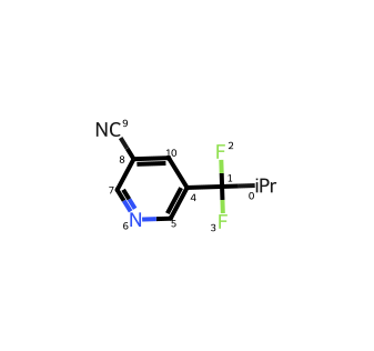 CC(C)C(F)(F)c1cncc(C#N)c1